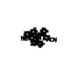 N#Cc1ccc2c(c1)c1ccccc1n2-c1cc(-c2ccccc2-c2ccccc2-c2ccccc2C#N)cc(-n2c3ccccc3c3ccccc32)n1